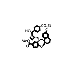 CCOC(=O)[C@@H]1CC=C([C@H](O)[C@@H]2CC[C@H]2CN2C[C@@]3(CCCc4cc(Cl)ccc43)COc3ccc(C(=O)OC)cc32)CC1